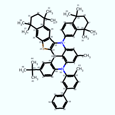 Cc1cc2c3c(c1)N(c1ccc4c(c1)C(C)(C)CCC4(C)C)c1c(sc4cc5c(cc14)C(C)(C)CCC5(C)C)B3c1cc(C(C)(C)C)ccc1N2c1cc(-c2ccccc2)ccc1C